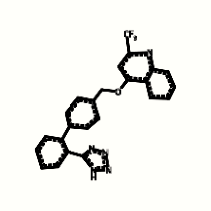 FC(F)(F)c1cc(OCc2ccc(-c3ccccc3-c3nnn[nH]3)cc2)c2ccccc2n1